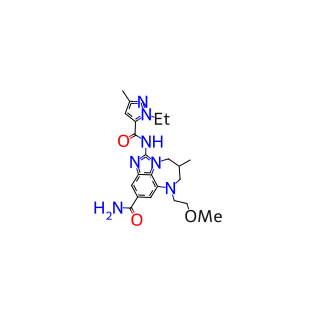 CCn1nc(C)cc1C(=O)Nc1nc2cc(C(N)=O)cc3c2n1CC(C)CN3CCOC